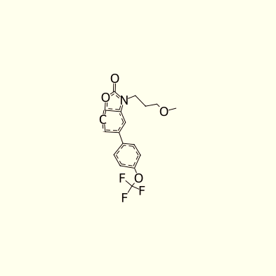 COCCCn1c(=O)oc2ccc(-c3ccc(OC(F)(F)F)cc3)cc21